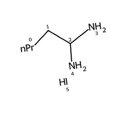 CCCCC(N)N.I